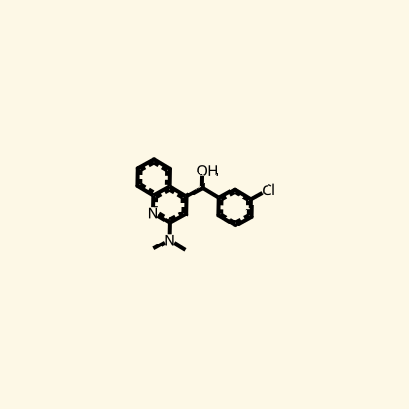 CN(C)c1cc(C(O)c2cccc(Cl)c2)c2ccccc2n1